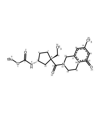 CC(C)(C)OC(=O)N[C@@H]1CC[C@](CC(F)(F)F)(C(=O)N2CCn3c(cc(C(F)(F)F)cc3=O)C2)C1